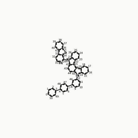 c1ccc(-c2ccc(-c3cccc(-n4c5ccccc5c5c6c7ccccc7n(-c7nccc8c7sc7ccccc78)c6ccc54)c3)cc2)cc1